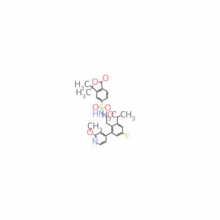 COc1cc(-c2cc(F)cc(C(C)C)c2CC(=O)NS(=O)(=O)c2ccc3c(c2)C(C)(C)OC3=O)ccn1